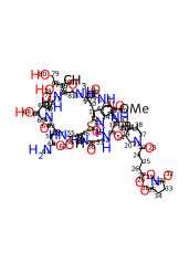 CC[C@H](C)[C@@H]1NC(=O)CNC(=O)[C@@H]2Cc3c([nH]c4c(CSC5CCN(C(=O)CCCC(=O)ON6C(=O)CCC6=O)CC5)c(OC)ccc34)[S+]([O-])C[C@H](NC(=O)CNC1=O)C(=O)N[C@@H](CC(N)=O)C(=O)N1C[C@H](O)C[C@H]1C(=O)N[C@@H]([C@@H](C)[C@@H](O)CO)C(=O)N2